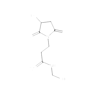 C=C(CCN1C(=O)CC(C)C1=O)NCC